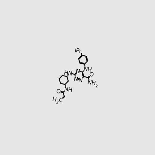 C=CC(=O)N[C@H]1CCC[C@@H](Nc2nnc(C(N)=O)c(Nc3ccc(C(C)C)cc3)n2)C1